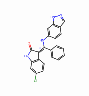 O=C1Nc2cc(Cl)ccc2/C1=C(/Nc1ccc2cn[nH]c2c1)c1ccccc1